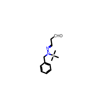 C[Si](C)(C)N(Cc1ccccc1)/N=C/CC=O